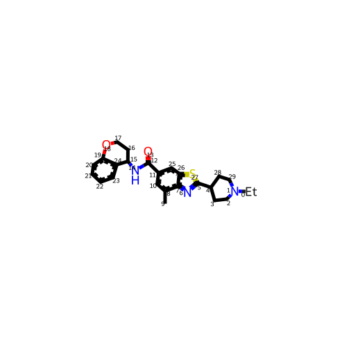 CCN1CCC(c2nc3c(C)cc(C(=O)NC4CCOc5ccccc54)cc3s2)CC1